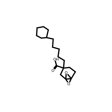 O=C(O)C1(CCCCCC2CCCCC2)CCC23OC2(C1)O3